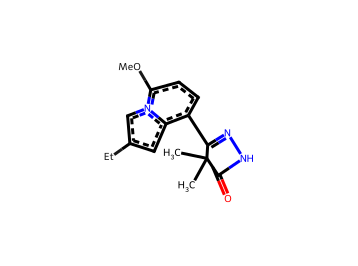 CCc1cc2c(C3=NNC(=O)C3(C)C)ccc(OC)n2c1